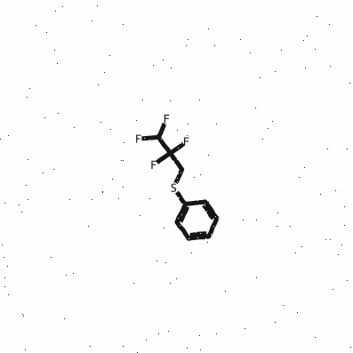 FC(F)C(F)(F)CSc1[c]cccc1